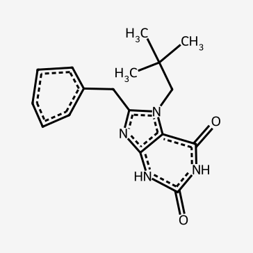 CC(C)(C)Cn1c(Cc2ccccc2)nc2[nH]c(=O)[nH]c(=O)c21